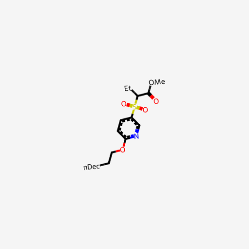 CCCCCCCCCCCCOc1ccc(S(=O)(=O)C(CC)C(=O)OC)cn1